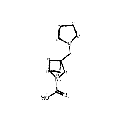 O=C(O)N1CC2(CN3CCCC3)CC1C2